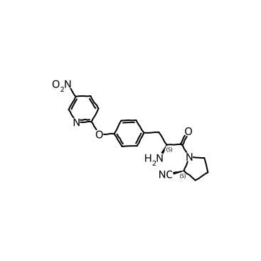 N#C[C@@H]1CCCN1C(=O)[C@@H](N)Cc1ccc(Oc2ccc([N+](=O)[O-])cn2)cc1